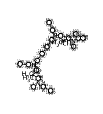 CC1(C)c2cc(N(c3ccccc3)c3ccc(-c4ccccc4)cc3)ccc2-c2ccc(N(c3ccc(-c4ccccc4)cc3)c3ccc(-c4ccc(-c5ccc(-c6ccc(N(c7ccc(-c8ccccc8)cc7)c7ccc8c(c7)C(C)(C)c7cc(N(c9ccccc9)c9cc%10ccccc%10c%10ccccc9%10)ccc7-8)cc6)cc5)cc4)cc3)cc21